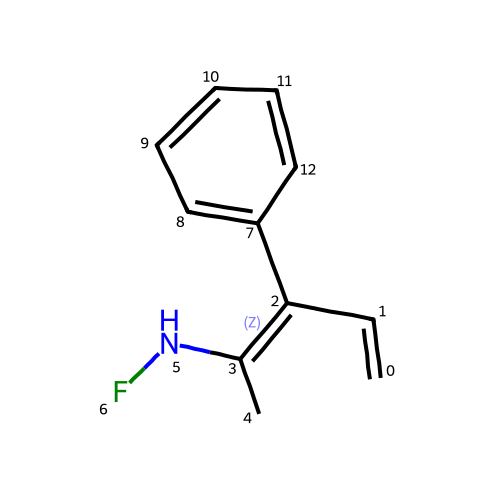 C=C/C(=C(\C)NF)c1ccccc1